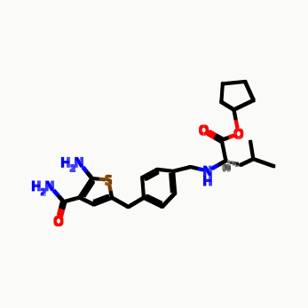 CC(C)C[C@H](NCc1ccc(Cc2cc(C(N)=O)c(N)s2)cc1)C(=O)OC1CCCC1